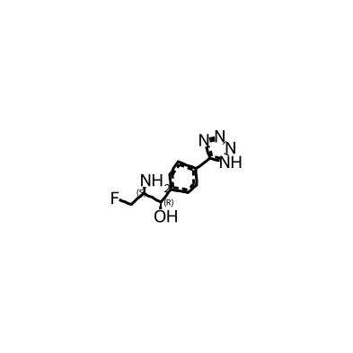 N[C@H](CF)[C@H](O)c1ccc(-c2nnn[nH]2)cc1